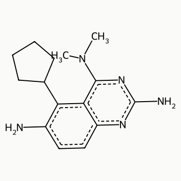 CN(C)c1nc(N)nc2ccc(N)c(C3CCCC3)c12